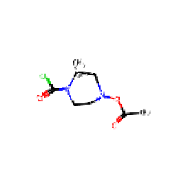 C[C@@H]1CN(OC(=O)C(C)(C)C)CCN1C(=O)Cl